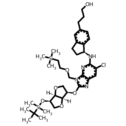 CC(C)(C)[Si](C)(C)O[C@@H]1CO[C@H]2[C@@H]1OC[C@H]2Oc1nc2cc(Cl)c(N[C@H]3CCc4cc(CCCO)ccc43)nc2n1COCC[Si](C)(C)C